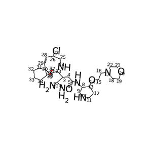 NC(N)C(CC(=O)NC1CNCCC1OCCN1CCOCC1)C1NCC(Cl)/C=C\C2(CCCCC2)C12CCC2